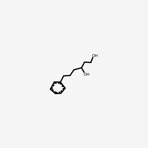 OCCC(O)CCCc1ccccc1